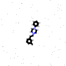 Cc1cccc(CCN2CCN(c3ccccc3)CC2)c1